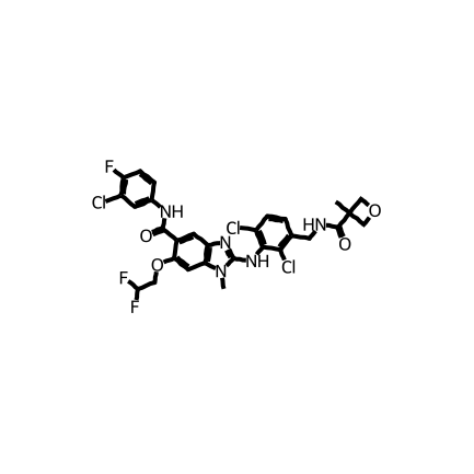 Cn1c(Nc2c(Cl)ccc(CNC(=O)C3(C)COC3)c2Cl)nc2cc(C(=O)Nc3ccc(F)c(Cl)c3)c(OCC(F)F)cc21